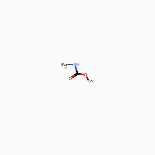 CC[C@H](C)NC(=O)OC(C)C